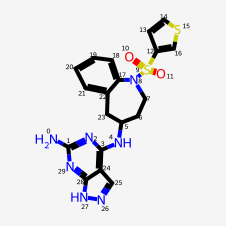 Nc1nc(NC2CCN(S(=O)(=O)c3ccsc3)c3ccccc3C2)c2cn[nH]c2n1